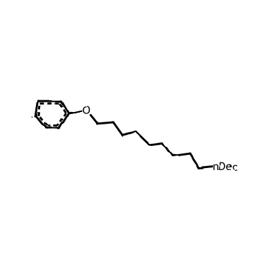 CCCCCCCCCCCCCCCCCCCOc1cc[c]cc1